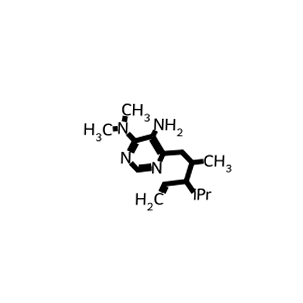 C=CC(C(C)C)C(C)Cc1ncnc(N(C)C)c1N